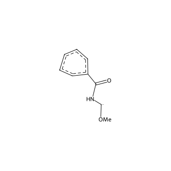 CO[CH]NC(=O)c1ccccc1